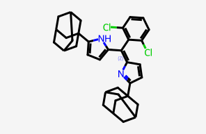 Clc1cccc(Cl)c1/C(=C1\C=CC(C23CC4CC(CC(C4)C2)C3)=N1)c1ccc(C23CC4CC(CC(C4)C2)C3)[nH]1